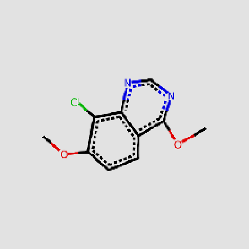 COc1ccc2c(OC)ncnc2c1Cl